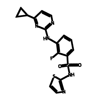 O=S(=O)(Nc1nccs1)c1cccc(Nc2nccc(C3CC3)n2)c1F